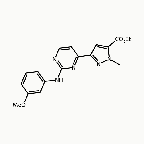 CCOC(=O)c1cc(-c2ccnc(Nc3cccc(OC)c3)n2)nn1C